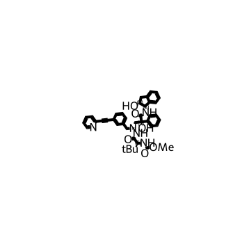 COC(=O)N[C@H](C(=O)NN(Cc1cccc(C#Cc2ccccn2)c1)C[C@](O)(C(=O)N[C@H]1c2ccccc2C[C@H]1O)c1ccccc1)C(C)(C)C